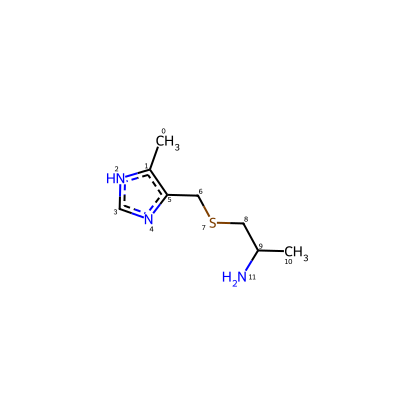 Cc1[nH]cnc1CSCC(C)N